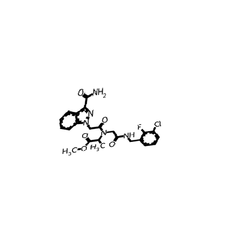 COC(=O)C(C)N(CC(=O)NCc1cccc(Cl)c1F)C(=O)Cn1nc(C(N)=O)c2ccccc21